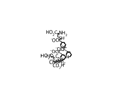 NCC(=O)O.N[C@@H](CCC(=O)O)C(=O)O.N[C@@H](CS)C(=O)O.O=C([O-])c1cccnc1.O=C([O-])c1cccnc1.O=C([O-])c1cccnc1.[Cr+3]